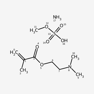 C=C(C)C(=O)OCCN(C)C.COS(=O)(=O)O.N